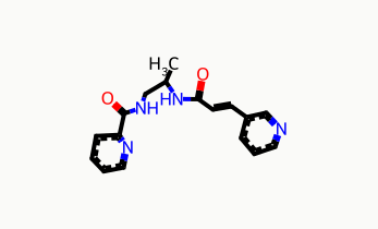 CC(CNC(=O)c1ccccn1)NC(=O)C=Cc1cccnc1